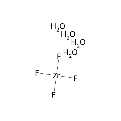 O.O.O.O.[F][Zr]([F])([F])[F]